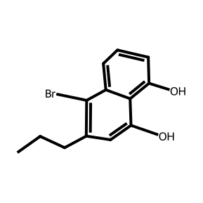 CCCc1cc(O)c2c(O)cccc2c1Br